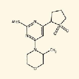 CSc1nc(C2CCCS2(=O)=O)cc(N2CCOCC2C)n1